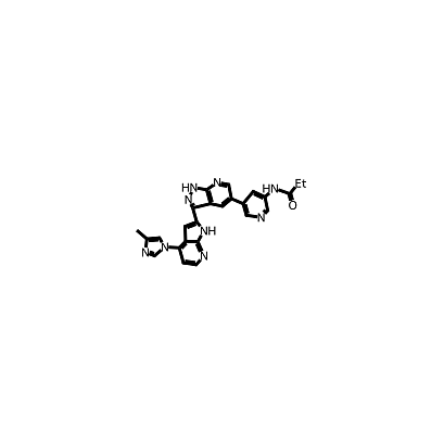 CCC(=O)Nc1cncc(-c2cnc3[nH]nc(-c4cc5c(-n6cnc(C)c6)ccnc5[nH]4)c3c2)c1